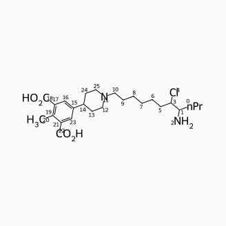 CCCC(N)C(Cl)CCCCCCN1CCC(c2cc(C(=O)O)c(C)c(C(=O)O)c2)CC1